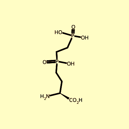 N[C@@H](CCP(=O)(O)CCP(=O)(O)O)C(=O)O